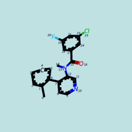 Cc1ccccc1-c1ccncc1N(C)C(=O)c1cc(F)cc(Cl)c1